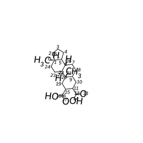 C[C@@]12CCC[C@H]1[C@@H]1CCC3CC(C(=O)O)C(C(=O)O)C[C@]3(C)[C@H]1CC2